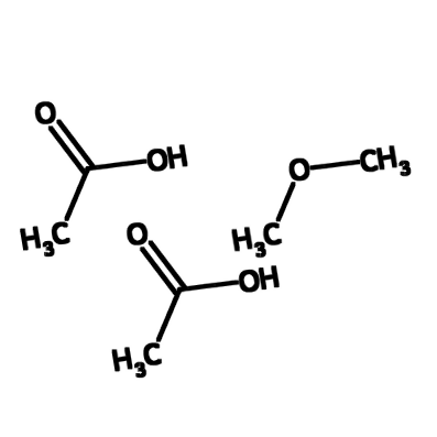 CC(=O)O.CC(=O)O.COC